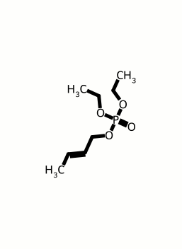 CC=CCOP(=O)(OCC)OCC